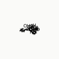 COc1c(OCCCN2CCCC2)cc2nc3ccccc3c(NC3COC3)c2c1OC=O